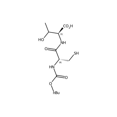 CCCCOC(=O)N[C@@H](CS)C(=O)N[C@H](C(=O)O)C(C)O